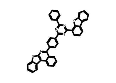 c1ccc(-c2nc(-c3ccc(-c4nc5sc6ccccc6c5c5ccccc45)cc3)nc(-c3cccc4c3sc3ccccc34)n2)cc1